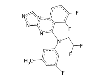 Cc1cc(F)cc(N(CC(F)F)c2nc3nncn3c3ccc(F)c(F)c23)c1